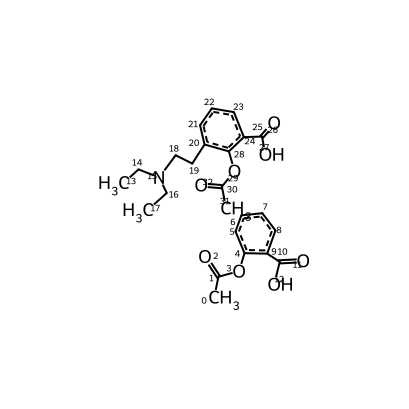 CC(=O)Oc1ccccc1C(=O)O.CCN(CC)CCc1cccc(C(=O)O)c1OC(C)=O